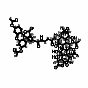 CC(=O)Oc1ccc2c(c1)Oc1cc(OC(C)=O)ccc1C21OC(=O)c2cc(C(=O)NCCC(=O)N[C@H]3[C@H](O)C4C([C@H](OC(C)=O)[C@H](OC(C)=O)[C@]5(C)[C@H]6[C@H](C)[C@H]7O[C@]78OC(=O)[C@@](C)(O)[C@]8(C)[C@@H]6[C@H](O)[C@@H]45)[C@]4(C)[C@@H]3C[C@@H]3O[C@@H]3[C@@H]4O)ccc21